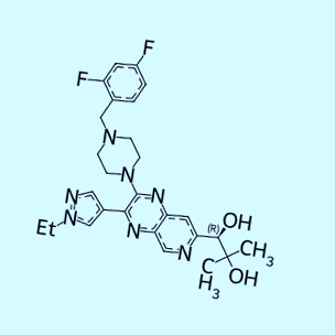 CCn1cc(-c2nc3cnc([C@@H](O)C(C)(C)O)cc3nc2N2CCN(Cc3ccc(F)cc3F)CC2)cn1